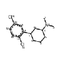 CN(C)C1CCCC(c2cc(Cl)ccc2Cl)C1